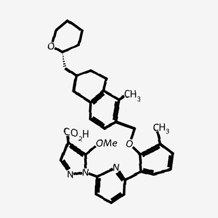 COc1c(C(=O)O)cnn1-c1cccc(-c2cccc(C)c2OCc2ccc3c(c2C)CCC(C[C@H]2CCCCO2)C3)n1